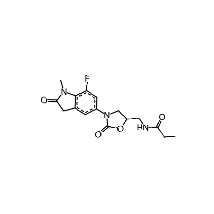 CCC(=O)NCC1CN(c2cc(F)c3c(c2)CC(=O)N3C)C(=O)O1